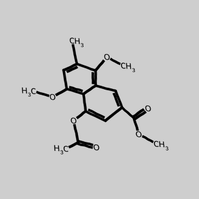 COC(=O)c1cc(OC(C)=O)c2c(OC)cc(C)c(OC)c2c1